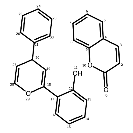 O=c1ccc2ccccc2o1.Oc1ccccc1C1=CC(c2ccccc2)C=CO1